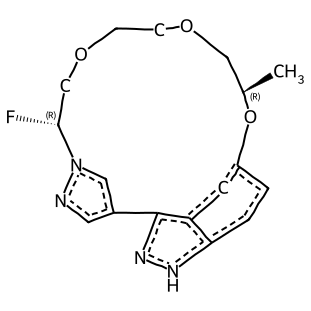 C[C@@H]1COCCOC[C@@H](F)n2cc(cn2)-c2n[nH]c3ccc(cc23)O1